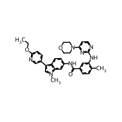 CCOc1ccc(-c2cn(C)c3cc(NC(=O)c4ccc(C)c(Nc5nccc(N6CCOCC6)n5)c4)ccc23)cn1